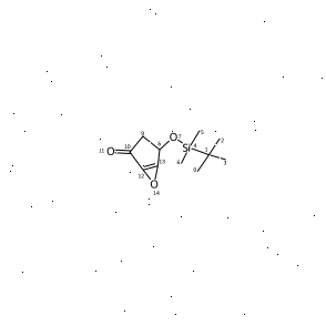 CC(C)(C)[Si](C)(C)OC1CC(=O)C2=C1O2